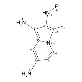 CCNc1c(N)c2cc(N)ccn2c1C